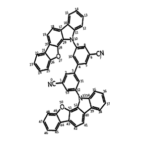 N#Cc1cc(-c2cc(C#N)cc(-n3c4ccccc4c4ccc5c6ccccc6oc5c43)c2)cc(-n2c3ccccc3c3ccc4c5ccccc5oc4c32)c1